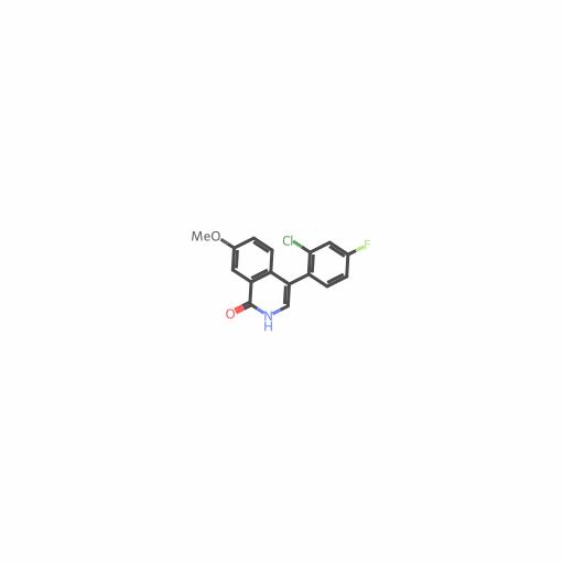 COc1ccc2c(-c3ccc(F)cc3Cl)c[nH]c(=O)c2c1